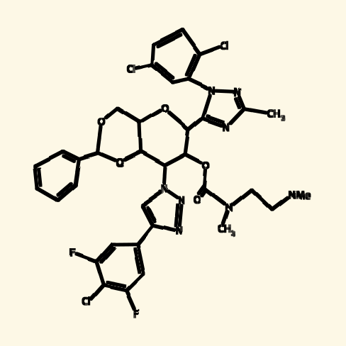 CNCCN(C)C(=O)OC1C(c2nc(C)nn2-c2cc(Cl)ccc2Cl)OC2COC(c3ccccc3)OC2C1n1cc(-c2cc(F)c(Cl)c(F)c2)nn1